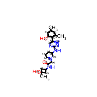 Cc1cc(C)c(-c2cnc(NC3CCCN(CC(=O)NC4CC(C)(O)C4)C3)nn2)c(O)c1